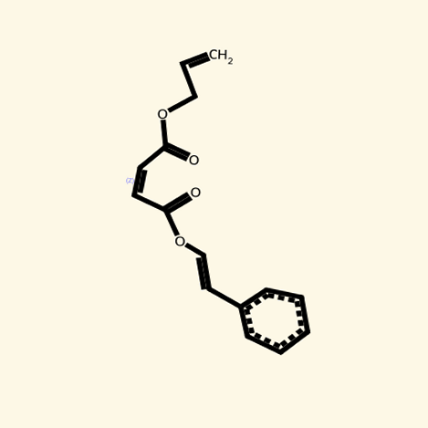 C=CCOC(=O)/C=C\C(=O)OC=Cc1ccccc1